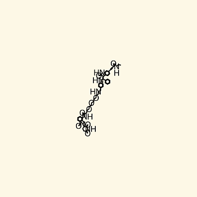 CCNC(=O)C#Cc1ccc2c(c1)NC(=O)/C2=C(\Nc1ccc(CNCCOCCOCCOCCC(=O)Nc2cccc3c2CN(C2CCC(=O)NC2=O)C3=O)cc1)c1ccccc1